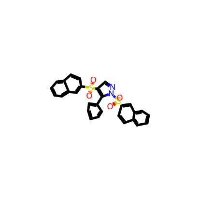 O=S(=O)(c1ccc2ccccc2c1)c1cnn(S(=O)(=O)c2ccc3ccccc3c2)c1-c1ccccc1